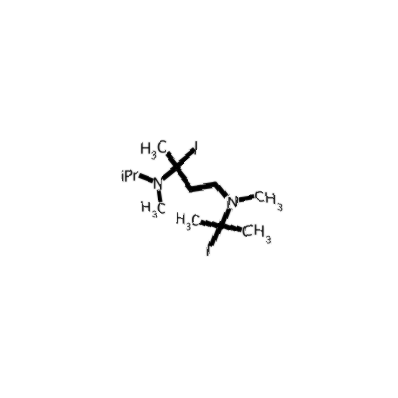 CC(C)N(C)C(C)(I)CCN(C)C(C)(C)I